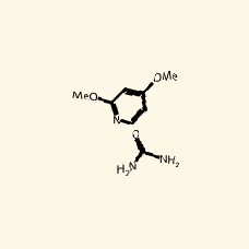 COc1ccnc(OC)c1.NC(N)=O